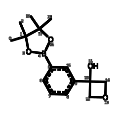 CC1(C)OB(c2cccc(C3(O)COC3)c2)OC1(C)C